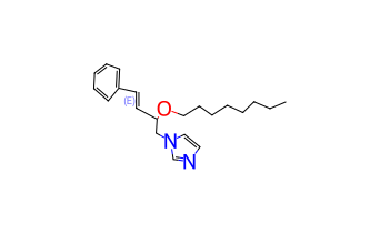 CCCCCCCCOC(/C=C/c1ccccc1)Cn1ccnc1